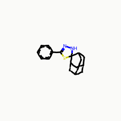 c1ccc(C2=NNC3(S2)C2CC4CC(C2)CC3C4)cc1